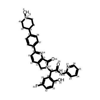 CN1CCC(c2ccc(-c3ccc4c(n3)C(=O)N(C(C(=O)Nc3ccccn3)c3cc(F)ccc3O)C4)cc2)CC1